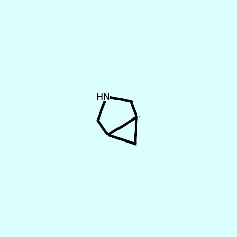 C1NCC2C[C]12